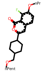 CCCCCOCC1CCC(c2cc3ccc(OCCC)c(F)c3c(=O)o2)CC1